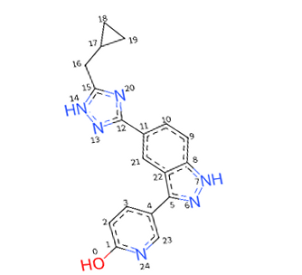 Oc1ccc(-c2n[nH]c3ccc(-c4n[nH]c(CC5CC5)n4)cc23)cn1